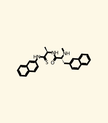 CN[C@H](Cc1ccc2ccccc2c1)C(=O)N[C@H](C)C(=S)Nc1ccc2ccccc2c1